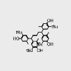 Cc1cc(O)c(C(C)(C)C)cc1C(CCCC(c1cc(C(C)(C)C)c(O)cc1C)c1cc(C(C)(C)C)c(O)cc1C)c1cc(C(C)(C)C)c(O)cc1C